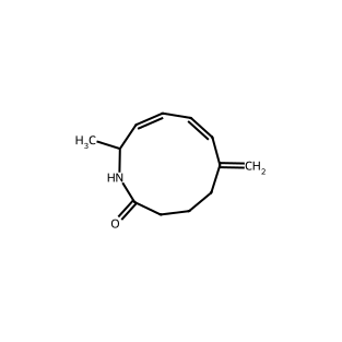 C=C1/C=C\C=C/C(C)NC(=O)CCC1